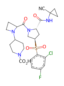 N#CC1(NC(=O)[C@@H]2C[C@@H](S(=O)(=O)c3ccc(F)cc3Cl)CN2C(=O)C2CCN2C2CCN(C(=O)O)CC2)CC1